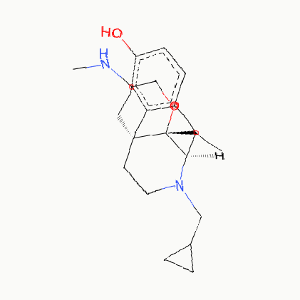 CC[C@]12OCC(NC)C[C@@]13CCN(CC1CC1)[C@@H]2Cc1ccc(O)cc13